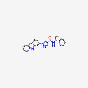 O=C(NC1CCc2cccnc21)c1cnn(-c2ccc3cc4ccccc4nc3c2)c1